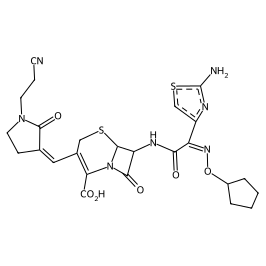 N#CCCN1CCC(=CC2=C(C(=O)O)N3C(=O)C(NC(=O)/C(=N\OC4CCCC4)c4csc(N)n4)C3SC2)C1=O